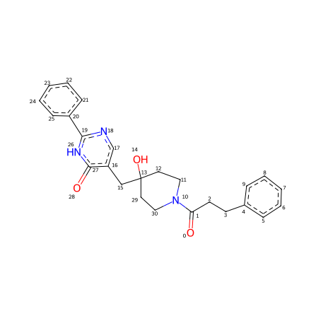 O=C(CCc1ccccc1)N1CCC(O)(Cc2cnc(-c3ccccc3)[nH]c2=O)CC1